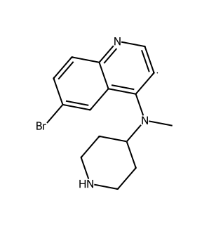 CN(c1[c]cnc2ccc(Br)cc12)C1CCNCC1